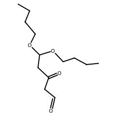 CCCCOC(CC(=O)CC=O)OCCCC